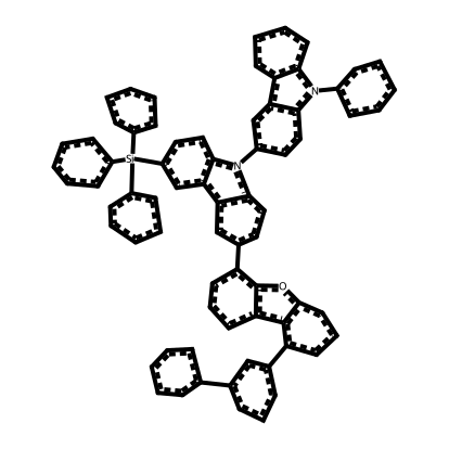 c1ccc(-c2cccc(-c3cccc4oc5c(-c6ccc7c(c6)c6cc([Si](c8ccccc8)(c8ccccc8)c8ccccc8)ccc6n7-c6ccc7c(c6)c6ccccc6n7-c6ccccc6)cccc5c34)c2)cc1